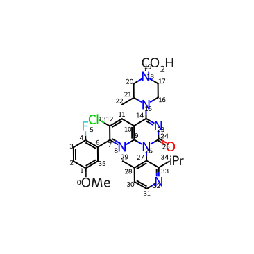 COc1ccc(F)c(-c2nc3c(cc2Cl)c(N2CCN(C(=O)O)CC2C)nc(=O)n3-c2c(C)ccnc2C(C)C)c1